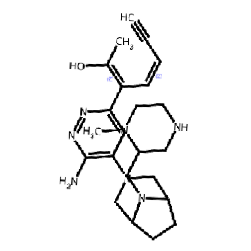 C#C/C=C\C(=C(/C)O)c1cc(N2CC3CCC(C2)N3CC2CNCCN2C)c(N)nn1